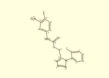 Cc1ccccc1-n1nnnc1SCC(=O)Nc1ccc(F)c([N+](=O)[O-])c1